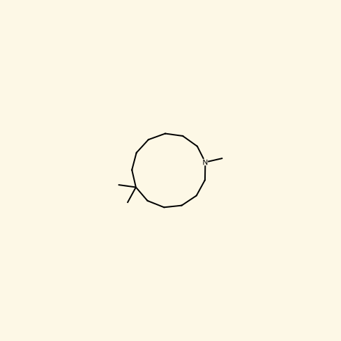 CN1CCCCCCC(C)(C)CCCCC1